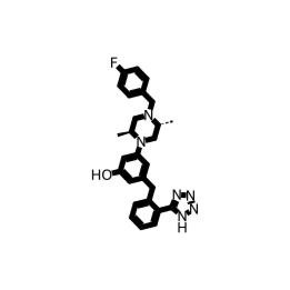 C[C@@H]1CN(c2cc(O)cc(Cc3ccccc3-c3nnn[nH]3)c2)[C@@H](C)CN1Cc1ccc(F)cc1